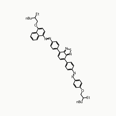 CCCCC(CC)COc1ccc(N=Nc2ccc(-c3ccc(-c4ccc(N=Nc5ccc(OCC(CC)CCCC)c6ccccc56)cc4)c4nsnc34)cc2)cc1